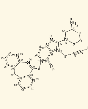 CC#CCn1c(N2CCCC(N)C2)nc2ccn(CC3=Nc4ncccc4Cc4cccnc43)c(=O)c21